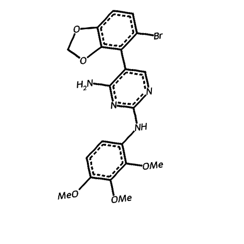 COc1ccc(Nc2ncc(-c3c(Br)ccc4c3OCO4)c(N)n2)c(OC)c1OC